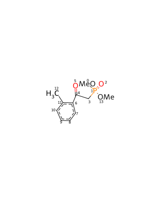 COP(=O)(CC(=O)c1ccccc1C)OC